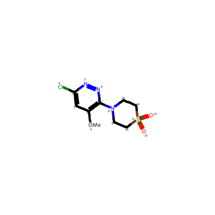 COc1cc(Cl)nnc1N1CCS(=O)(=O)CC1